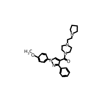 COc1ccc(-n2cc(C(=O)N3CCN(CCN4CCCC4)CC3)c(-c3ccccc3)n2)cc1